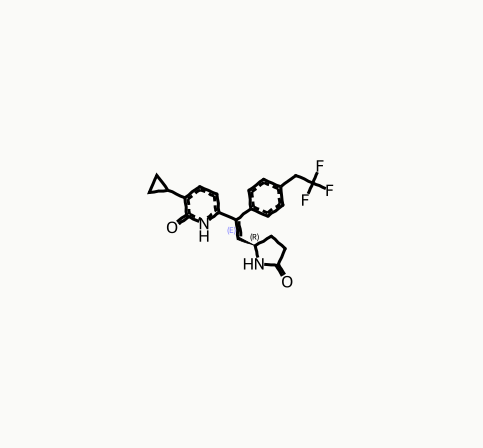 O=C1CC[C@H](/C=C(\c2ccc(CC(F)(F)F)cc2)c2ccc(C3CC3)c(=O)[nH]2)N1